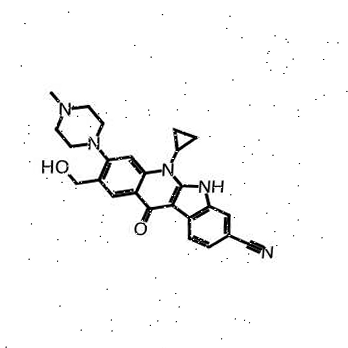 CN1CCN(c2cc3c(cc2CO)c(=O)c2c4ccc(C#N)cc4[nH]c2n3C2CC2)CC1